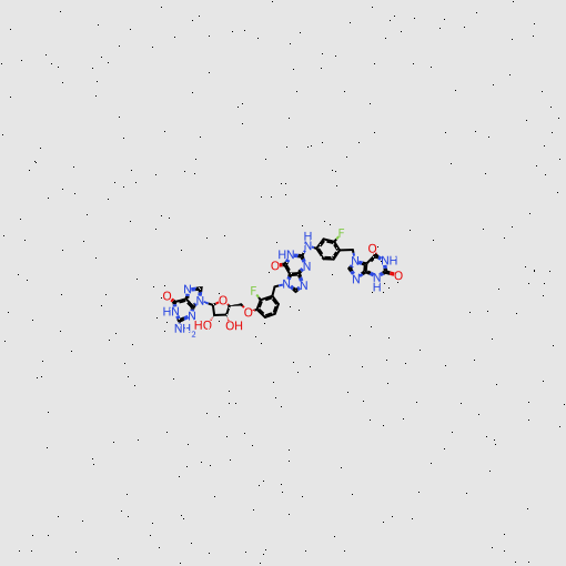 Nc1nc2c(ncn2C2O[C@@H](COc3cccc(Cn4cnc5nc(Nc6ccc(Cn7cnc8[nH]c(=O)[nH]c(=O)c87)c(F)c6)[nH]c(=O)c54)c3F)[C@H](O)[C@@H]2O)c(=O)[nH]1